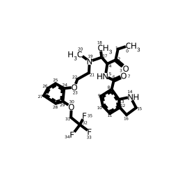 CCC(=O)C(NC(=O)c1cccc2c1NCC2)C(C)N(C)CCOc1ccccc1OCC(F)(F)F